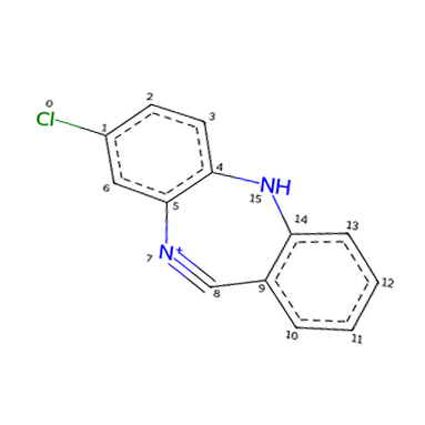 Clc1ccc2c(c1)[N+]#Cc1ccccc1N2